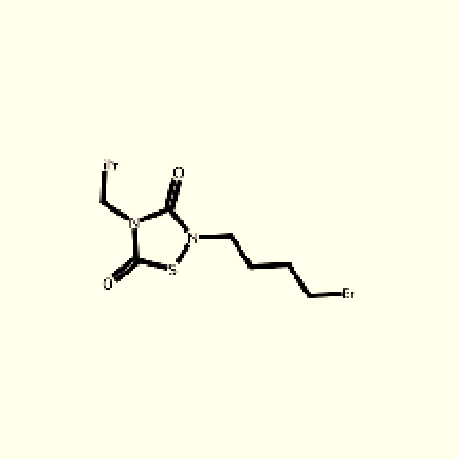 CC(C)Cn1c(=O)sn(CCCCBr)c1=O